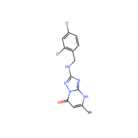 CC(C)c1cc(=O)n2nc(NCc3ccc(Cl)cc3Cl)nc2[nH]1